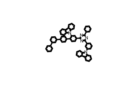 c1ccc(-c2cccc(-c3ccc(-c4ccc(-c5nc(-c6ccccc6)nc(-c6cccc(-n7c8ccccc8c8ccccc87)c6)n5)cc4-n4c5ccccc5c5ccccc54)cc3)c2)cc1